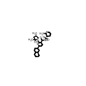 C[C@@H]1CN(c2nc(-c3ccc4ccccc4c3)ccc2C(=O)NS(=O)(=O)c2cccnc2N)C(C)(C)C1